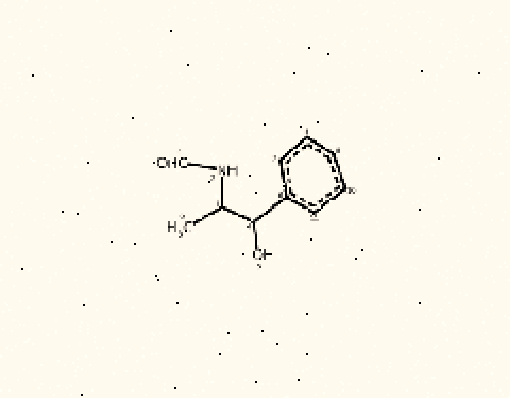 CC(N[C]=O)C(O)c1ccccc1